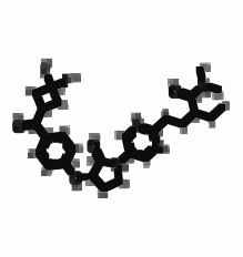 CCC(CCc1ncc(N2CC[C@@H](Oc3ccc(C(=O)C4CC(F)(F)C4)cc3)C2=O)cn1)C(=O)N(C)C